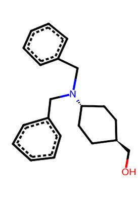 OC[C@H]1CC[C@H](N(Cc2ccccc2)Cc2ccccc2)CC1